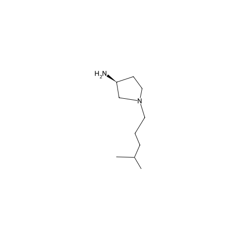 CC(C)CCCN1CC[C@H](N)C1